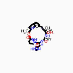 CC(C)[C@@H]1NC(O)C(C)(C)/C=C/c2ccc3ccc(nc3c2)[C@@H](C)OC(=O)[C@@H]2CCCN(N2)C(=O)[C@H](Cc2c[nH]cn2)NC1=O